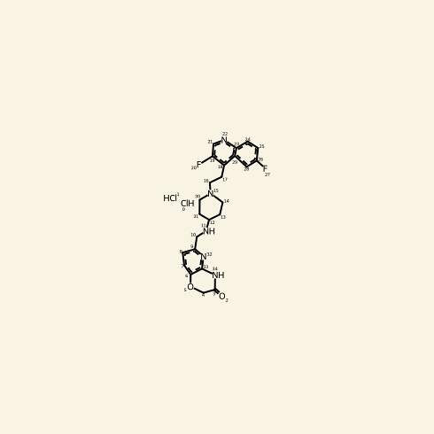 Cl.Cl.O=C1COc2ccc(CNC3CCN(CCc4c(F)cnc5ccc(F)cc45)CC3)nc2N1